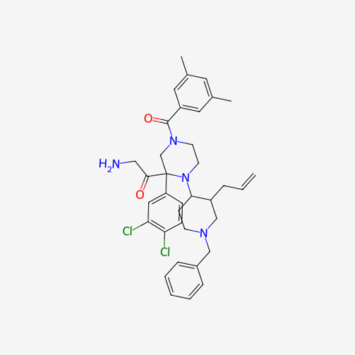 C=CCC1CN(Cc2ccccc2)CCC1N1CCN(C(=O)c2cc(C)cc(C)c2)CC1(C(=O)CN)c1ccc(Cl)c(Cl)c1